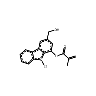 C=C(C)C(=O)Oc1cc(CO)cc2c3ccccc3n(CC)c12